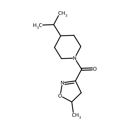 CC1CC(C(=O)N2CCC(C(C)C)CC2)=NO1